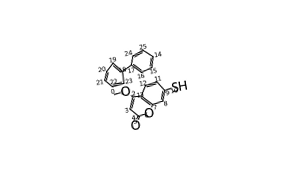 COc1cc(=O)oc2cc(S)ccc12.c1ccc(-c2ccccc2)cc1